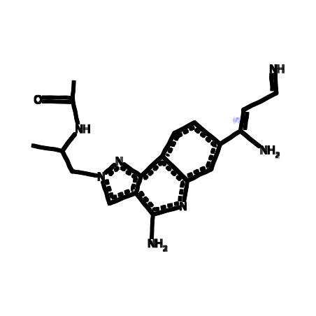 CC(=O)NC(C)Cn1cc2c(N)nc3cc(/C(N)=C/C=N)ccc3c2n1